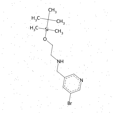 CC(C)(C)[Si](C)(C)OCCNCc1cncc(Br)c1